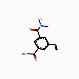 C=Cc1cc(C(=O)OC)cc(C(=O)N(C)CCC)c1